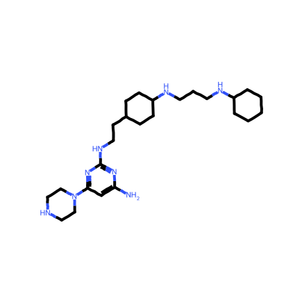 Nc1cc(N2CCNCC2)nc(NCCC2CCC(NCCCNC3CCCCC3)CC2)n1